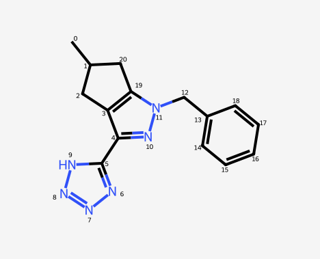 CC1Cc2c(-c3nnn[nH]3)nn(Cc3ccccc3)c2C1